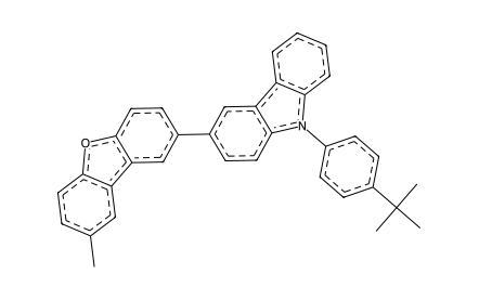 Cc1ccc2oc3ccc(-c4ccc5c(c4)c4ccccc4n5-c4ccc(C(C)(C)C)cc4)cc3c2c1